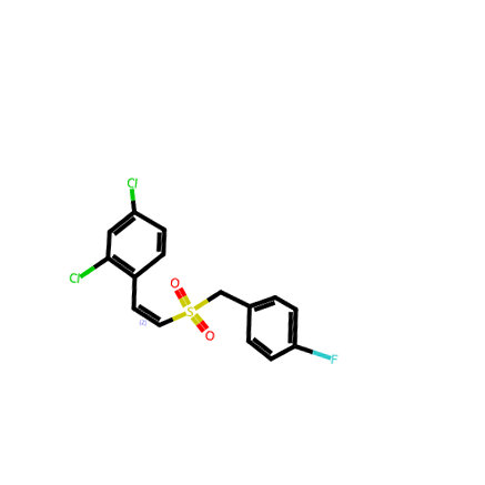 O=S(=O)(/C=C\c1ccc(Cl)cc1Cl)Cc1ccc(F)cc1